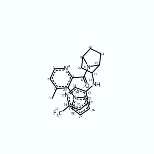 Cc1ccnc(C(=O)N2C3CCC2C(Nc2cnc(C(F)(F)F)cn2)C3)c1-n1nccn1